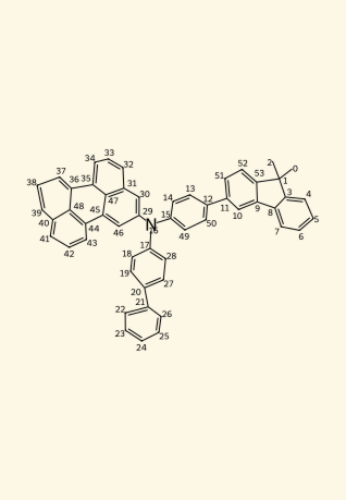 CC1(C)c2ccccc2-c2cc(-c3ccc(N(c4ccc(-c5ccccc5)cc4)c4cc5cccc6c7cccc8cccc(c(c4)c56)c87)cc3)ccc21